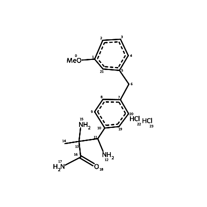 COc1cccc(Cc2ccc(C(N)C(C)(N)C(N)=O)cc2)c1.Cl.Cl